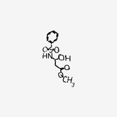 COC(=O)CC(O)NS(=O)(=O)c1ccccc1